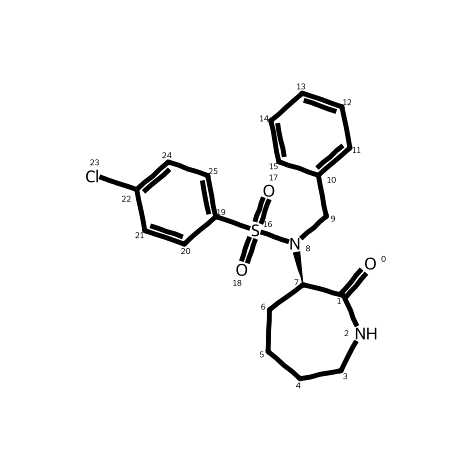 O=C1NCCCC[C@H]1N(Cc1ccccc1)S(=O)(=O)c1ccc(Cl)cc1